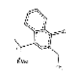 CN[C@H](C)c1cn(CC(F)(F)F)c(=O)c2ccccc12